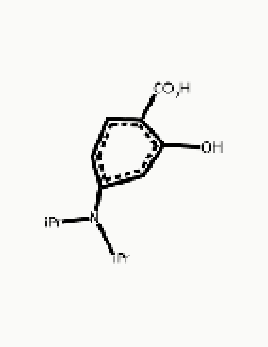 CC(C)N(c1ccc(C(=O)O)c(O)c1)C(C)C